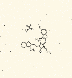 CCn1c(=Cc2sc3ccc(F)cc3[n+]2C)sc(=CC=C2Sc3ccccc3N2C)c1=O.CS(=O)(=O)[O-]